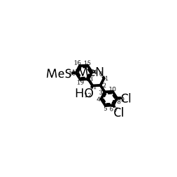 CNCC(c1ccc(Cl)c(Cl)c1)C(O)c1cccc(SC)c1